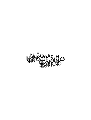 CC[C@H]1O[C@@H](n2cnc3c(NC(=O)c4ccccc4)ncnc32)[C@H](F)[C@@H]1OP(O)(=S)OC[C@H]1O[C@@H](n2cnc3c2ncn2ncnc32)[C@H](F)[C@@H]1OC(=O)CCC(C)=O